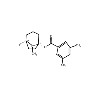 Cc1cc(C)cc(C(=O)O[C@]23CCC[C@H](CC2)N3C)c1